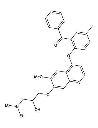 CCN(CC)CC(O)COc1cc2nccc(Oc3ccc(C)cc3C(=O)c3ccccc3)c2cc1OC